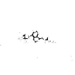 COC(=O)NCC1OCCc2c(B3OC(C)(C)C(C)(C)O3)cccc21